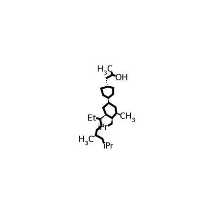 CCC(CC[C@@H](C)CC(C)C)[C@H]1CC([C@H]2CC[C@@H](CC(C)O)CC2)C[C@@H](C)[C@H]1CC(C)C